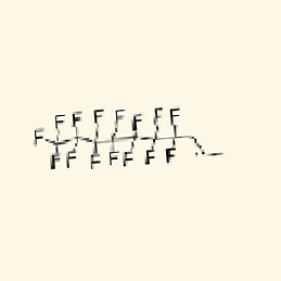 C[CH]CC(F)(F)C(F)(F)C(F)(F)C(F)(F)C(F)(F)C(F)(F)C(F)(F)F